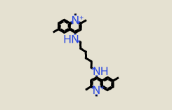 Cc1ccc2c(c1)c(NCCCCCCNc1cc(C)[n+](C)c3ccc(C)cc13)cc(C)[n+]2C